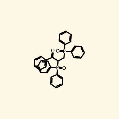 O=C(c1ccccc1)C(CP(=O)(c1ccccc1)c1ccccc1)P(=O)(c1ccccc1)c1ccccc1